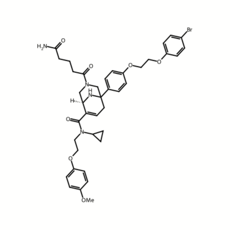 COc1ccc(OCCN(C(=O)C2=CCC3(c4ccc(OCCOc5ccc(Br)cc5)cc4)CN(C(=O)CCCC(N)=O)C[C@H]2N3)C2CC2)cc1